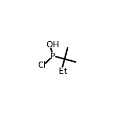 CCC(C)(C)P(O)Cl